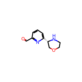 O=Cc1cccc([C@H]2COCCN2)n1